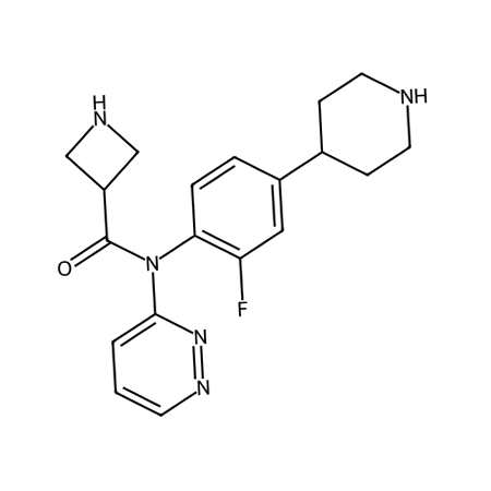 O=C(C1CNC1)N(c1cccnn1)c1ccc(C2CCNCC2)cc1F